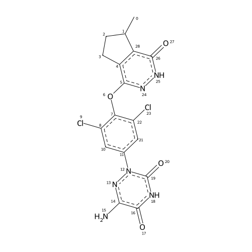 CC1CCc2c(Oc3c(Cl)cc(-n4nc(N)c(=O)[nH]c4=O)cc3Cl)n[nH]c(=O)c21